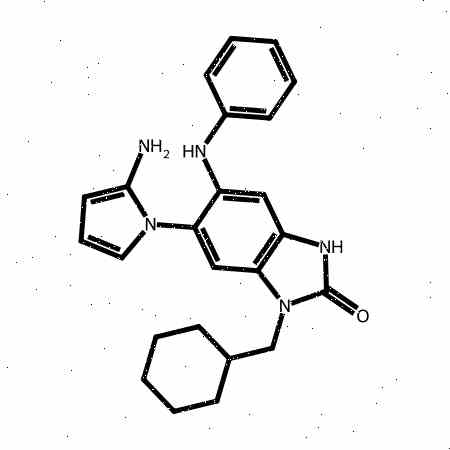 Nc1cccn1-c1cc2c(cc1Nc1ccccc1)[nH]c(=O)n2CC1CCCCC1